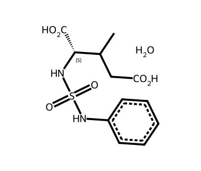 CC(CC(=O)O)[C@H](NS(=O)(=O)Nc1ccccc1)C(=O)O.O